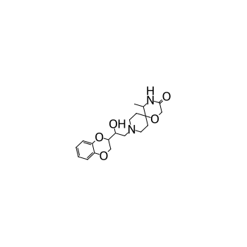 CC1NC(=O)COC12CCN(CC(O)C1COc3ccccc3O1)CC2